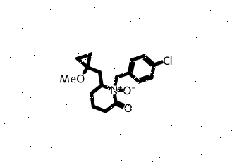 COC1(CC2CCCC(=O)[N+]2([O-])Cc2ccc(Cl)cc2)CC1